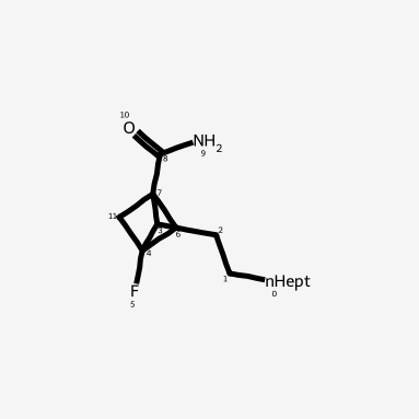 CCCCCCCCCC1C2(F)CC1(C(N)=O)C2